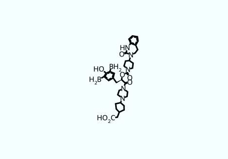 Bc1cc(C[C@@H](OC(=O)N2CCC(N3CCc4ccccc4NC3=O)CC2)C(=O)N2CCN(C3CCC(CC(=O)O)CC3)CC2)cc(B)c1O